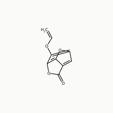 C=COc1c2c3oc1cc3C(=O)O2